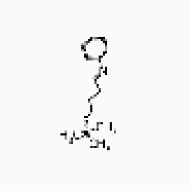 C[Si](C)(C)SCCCC=Nc1ccccc1